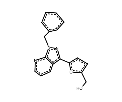 OCc1ccc(-c2nn(Cc3ccccc3)c3ncccc23)o1